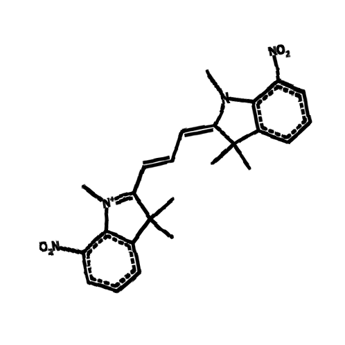 CN1/C(=C/C=C/C2=[N+](C)c3c([N+](=O)[O-])cccc3C2(C)C)C(C)(C)c2cccc([N+](=O)[O-])c21